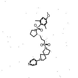 COc1cc(C)c(S(=O)(=O)N2CCC[C@H]2CCCS(=O)(=O)N2CCC3(CCN(c4ccncc4)C3)C2)c(C)c1